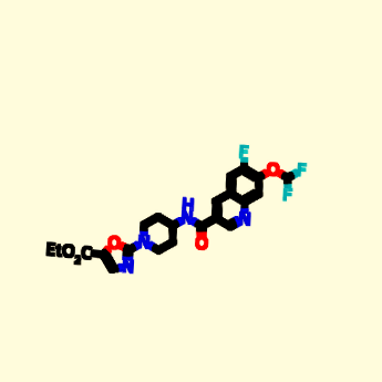 CCOC(=O)c1cnc(N2CCC(NC(=O)c3cnc4cc(OC(F)F)c(F)cc4c3)CC2)o1